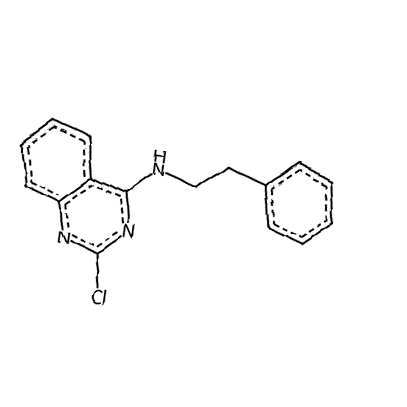 Clc1nc(NCCc2ccccc2)c2ccccc2n1